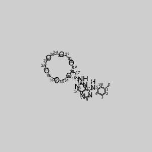 Cc1cccc(Nc2ncnc3cnc(NCCC4COCCOCCOCCOCCOCCO4)nc23)c1